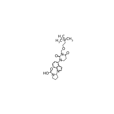 C[Si](C)(C)CCOCN1C(=O)CCN(c2cccc3c2ccn3C2CCCN2C(=O)O)C1=O